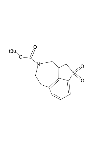 CC(C)(C)OC(=O)N1CCc2cccc3c2C(C1)CS3(=O)=O